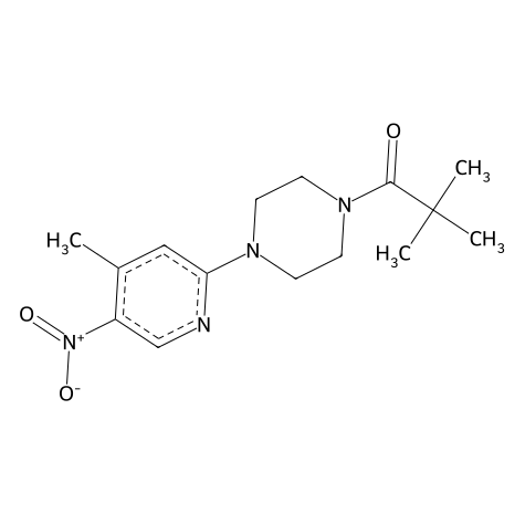 Cc1cc(N2CCN(C(=O)C(C)(C)C)CC2)ncc1[N+](=O)[O-]